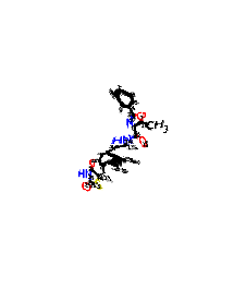 Cc1oc(-c2ccccc2)nc1C(=O)NCCc1ccc(C[C@@H]2SC(=O)NC2=O)cc1